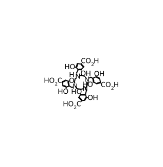 O=C(O)c1cc(O)c(CN2CCN(Cc3c(O)cc(C(=O)O)cc3O)CCN(Cc3c(O)cc(C(=O)O)cc3O)CCN(Cc3c(O)cc(C(=O)O)cc3O)CC2)c(O)c1